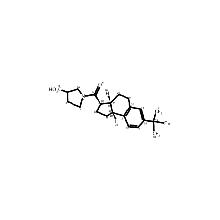 O=C(O)C1CCN(C(=O)[C@@H]2CC[C@H]3c4ccc(C(F)(C(F)(F)F)C(F)(F)F)cc4CC[C@@H]23)C1